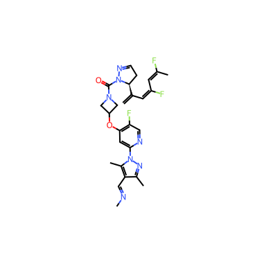 C=C(/C=C(F)\C=C(/C)F)[C@@H]1CC=NN1C(=O)N1CC(Oc2cc(-n3nc(C)c(/C=N/C)c3C)ncc2F)C1